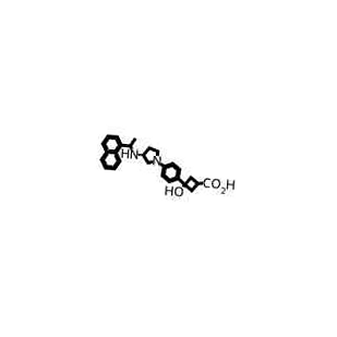 CC(N[C@H]1CCN(c2ccc(C3(O)CC(C(=O)O)C3)cc2)C1)c1cccc2ccccc12